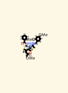 COC[C@@]1(C)C[C@H]2CSC(NC(=O)c3ccccc3)=N[C@@]2(c2nc(NCc3ccc(OC)cc3OC)cs2)CO1